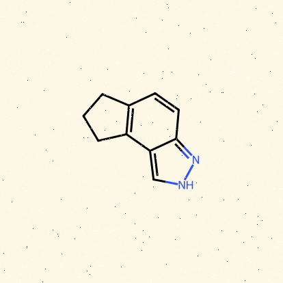 c1cc2n[nH]cc2c2c1CCC2